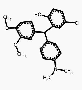 COc1ccc(C(c2ccc(N(C)C)cc2)c2cc(Cl)ccc2O)cc1OC